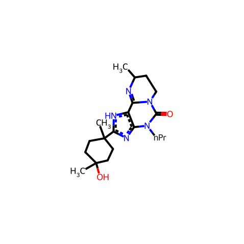 CCCN1C(=O)N2CCC(C)N=C2c2[nH]c(C3(C)CCC(C)(O)CC3)nc21